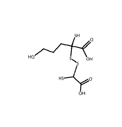 O=C(O)C(S)SSC(S)(CCCO)C(=O)O